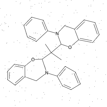 CC(C)(C1Oc2ccccc2CN1c1ccccc1)C1Oc2ccccc2CN1c1ccccc1